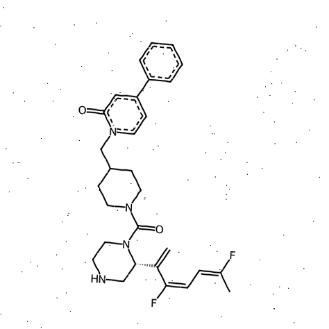 C=C(/C(F)=C\C=C(/C)F)[C@@H]1CNCCN1C(=O)N1CCC(Cn2ccc(-c3ccccc3)cc2=O)CC1